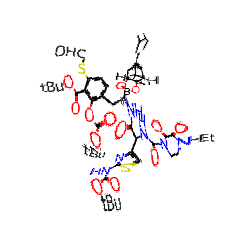 CCN1CCN(C(=O)NC(C(=O)N[C@@H](Cc2ccc(SCC=O)c(C(=O)OC(C)(C)C)c2OC(=O)OC(C)(C)C)B2O[C@@H]3C[C@@H]4C[C@@H](C4(C)C)[C@]3(C)O2)c2csc(NC(=O)OC(C)(C)C)n2)C(=O)C1=O